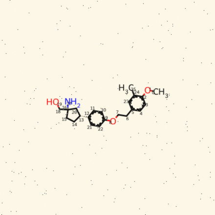 COc1ccc(CCOc2ccc([C@@H]3CC[C@](N)(CO)C3)cc2)cc1C